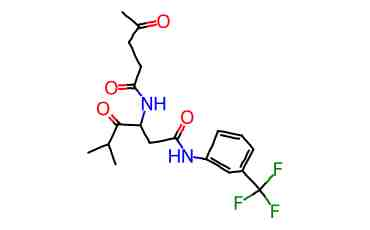 CC(=O)CCC(=O)NC(CC(=O)Nc1cccc(C(F)(F)F)c1)C(=O)C(C)C